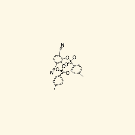 Cc1ccc(S(=O)(=O)Oc2c(C#N)ccc(C#N)c2OS(=O)(=O)c2ccc(C)cc2)cc1